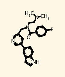 CN(C)CCN(Cc1cncc(-c2ccc3[nH]ccc3c2)c1)C(=O)c1ccc(F)cc1